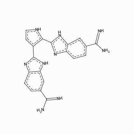 N=C(N)c1ccc2nc(-c3cc[nH]c3-c3nc4ccc(C(=N)N)cc4[nH]3)[nH]c2c1